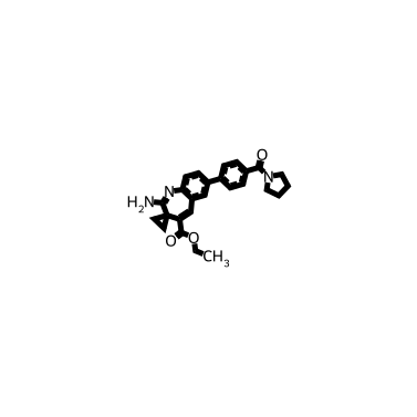 CCOC(=O)C1=Cc2cc(-c3ccc(C(=O)N4CCCC4)cc3)ccc2N=C(N)C12CC2